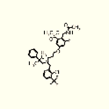 CC(=O)NCc1c(F)cc(OCCCN(Cc2cccc(C(F)(F)F)c2Cl)CC(C)(C)c2ccccc2)cc1S(C)(=O)=O